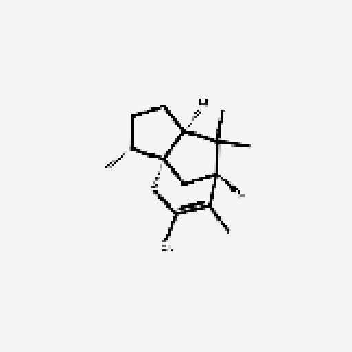 CCC1=C(C)[C@@H]2C[C@@]3(C1)[C@H](C)CC[C@H]3C2(C)C